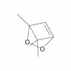 CC12C=C(OO1)C2(C)C